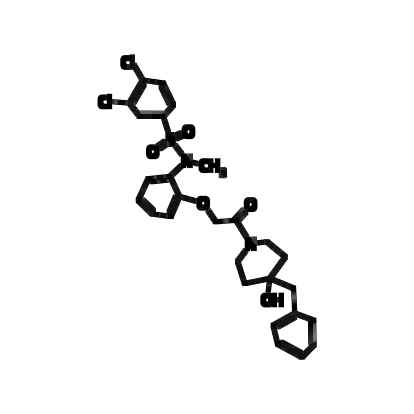 CN(c1ccccc1OCC(=O)N1CCC(O)(Cc2ccccc2)CC1)S(=O)(=O)c1ccc(Cl)c(Cl)c1